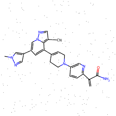 C=C(C(N)=O)c1ccc(N2CC=C(c3cc(-c4cnn(C)c4)cn4ncc(C#N)c34)CC2)cn1